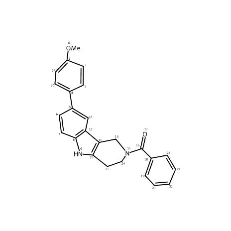 COc1ccc(-c2ccc3[nH]c4c(c3c2)CN(C(=O)c2ccccc2)CC4)cc1